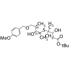 COc1ccc(COC[C@@H](C)[C@H](O)[C@@H](C)SC(C)(C)C(O)CC(=O)OC(C)(C)C)cc1